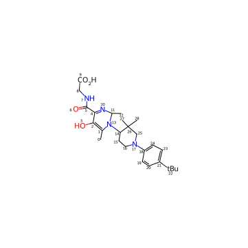 CC1=C(O)C(C(=O)NCC(=O)O)=NC(C)N1C1CCN(c2ccc(C(C)(C)C)cc2)CC1(C)C